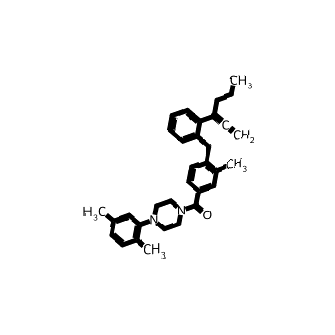 C=C=C(CCC)c1ccccc1Cc1ccc(C(=O)N2CCN(c3cc(C)ccc3C)CC2)cc1C